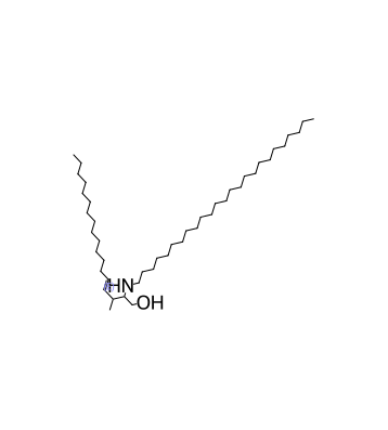 CCCCCCCCCCCCC/C=C/C(C)C(CO)NCCCCCCCCCCCCCCCCCCCCCCCCC